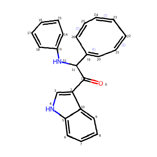 O=C(c1c[nH]c2ccccc12)C(Nc1ccccc1)C1=C/C=C\C=C/C=C\1